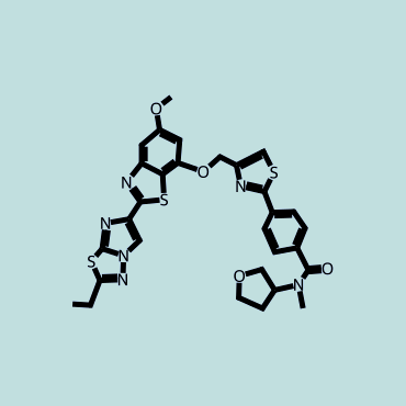 CCc1nn2cc(-c3nc4cc(OC)cc(OCc5csc(-c6ccc(C(=O)N(C)C7CCOC7)cc6)n5)c4s3)nc2s1